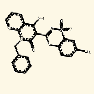 Cc1ccc2c(c1)S(=O)(=O)N=C(c1c(O)c3cccnc3n(Cc3ccccc3)c1=O)N2